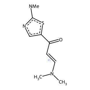 CNc1ncc(C(=O)/C=C/N(C)C)s1